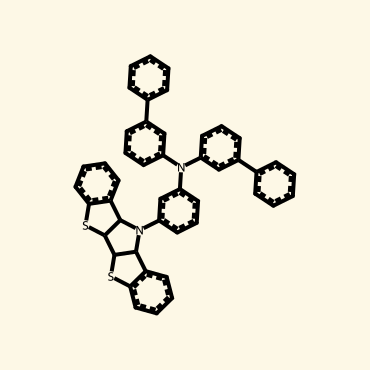 c1ccc(-c2cccc(N(c3cccc(-c4ccccc4)c3)c3cccc(N4C5c6ccccc6SC5C5Sc6ccccc6C54)c3)c2)cc1